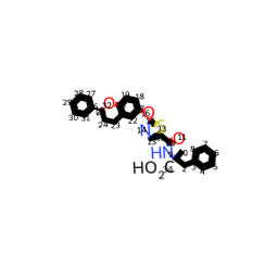 CC(Cc1ccccc1)(NC(=O)c1cnc(Oc2ccc3c(c2)CC[C@@H](c2ccccc2)O3)s1)C(=O)O